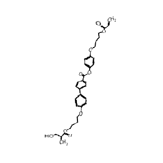 C=CC(=O)OCCCCOc1ccc(OC(=O)c2ccc(-c3ccc(OCCCCOC(=O)C(=C)CO)cc3)cc2)cc1